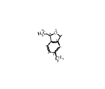 Cc1ccc2c(c1)COC2C